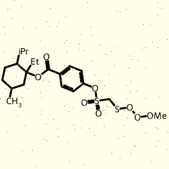 CCC1(OC(=O)c2ccc(OS(=O)(=O)CSOOOC)cc2)CC(C)CCC1C(C)C